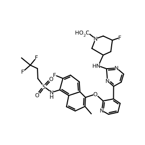 Cc1ccc2c(NS(=O)(=O)CCC(C)(F)F)c(F)ccc2c1Oc1ncccc1-c1ccnc(NC2CC(F)CN(C(=O)O)C2)n1